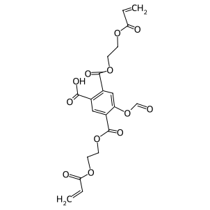 C=CC(=O)OCCOC(=O)c1cc(C(=O)O)c(C(=O)OCCOC(=O)C=C)cc1OC=O